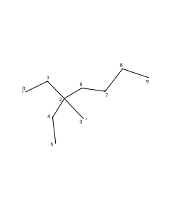 [CH2]CC([CH2])(CC)CCCC